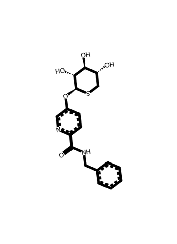 O=C(NCc1ccccc1)c1ccc(O[C@@H]2SC[C@@H](O)[C@H](O)[C@H]2O)cn1